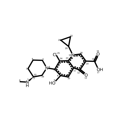 CN[C@H]1CCCN(c2c(O)cc3c(=O)c(C(=O)O)cn(C4CC4)c3c2Cl)C1